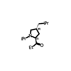 CCC(=O)[C@@H]1C[C@@H](CC(C)C)CN1C(C)C